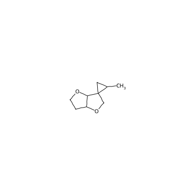 CC1CC12COC1CCOC12